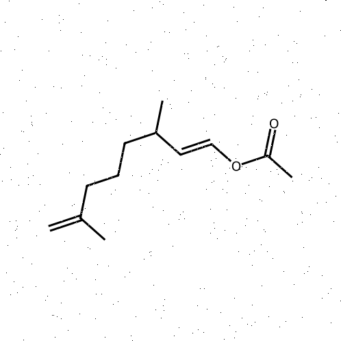 C=C(C)CCCC(C)C=COC(C)=O